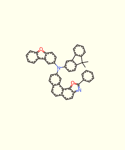 CC1(C)c2ccccc2-c2cc(N(c3ccc4oc5ccccc5c4c3)c3ccc4ccc5ccc6nc(-c7ccccc7)oc6c5c4c3)ccc21